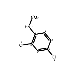 CNNc1ccc(Cl)cc1Cl